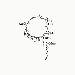 C#CCCCCO[C@@H]1CC[C@@H](C[C@@H](N)[C@@H]2C/C(=N/N)[C@H](C)/C=C(\C)[C@@H](O)[C@@H](O)C(=O)[C@H](C)C[C@H](C)/C=C/C=C/C=C(\C)[C@@H](OC)C[C@@H]3CC[C@@H](C)[C@@](O)(O3)C(=O)C(=O)N3CCCC[C@H]3C(=O)O2)C[C@H]1OC